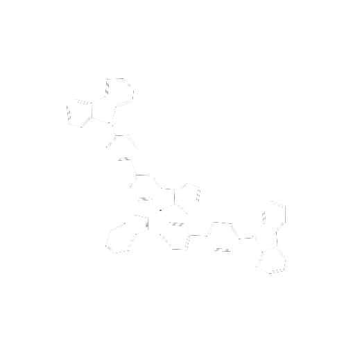 c1ccc2c(c1)-c1cc(-c3ccc(-n4c5ccccc5c5ccccc54)cc3)ccc1C21c2cc(-c3ccc(-n4c5ccccc5c5ccccc54)cc3)ccc2-c2c1oc1ccccc21